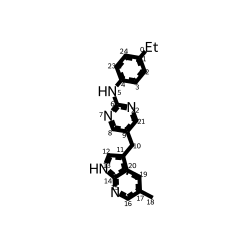 CCc1ccc(Nc2ncc(Cc3c[nH]c4ncc(C)cc34)cn2)cc1